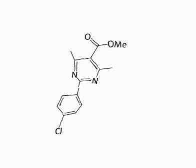 COC(=O)c1c(C)nc(-c2ccc(Cl)cc2)nc1C